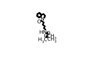 CC(C)(C)OC(=O)NCCCCCC(=O)N1CCCc2ccccc21